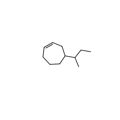 CCC(C)C1CC=CCCC1